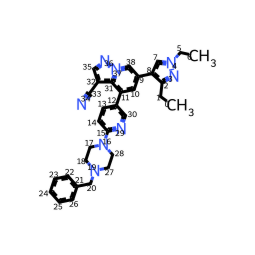 CCc1nn(CC)cc1-c1cc(-c2ccc(N3CCN(Cc4ccccc4)CC3)nc2)c2c(C#N)cnn2c1